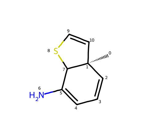 C[C@]12C=CC=C(N)C1SC=C2